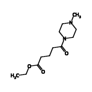 CCOC(=O)CCCC(=O)N1CCN(C)CC1